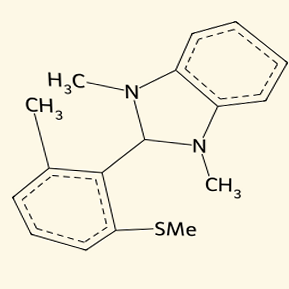 CSc1cccc(C)c1C1N(C)c2ccccc2N1C